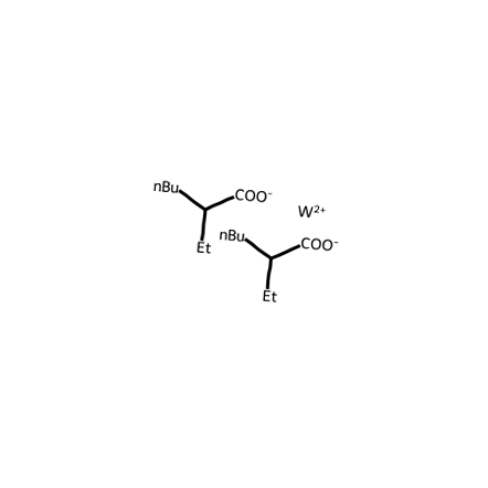 CCCCC(CC)C(=O)[O-].CCCCC(CC)C(=O)[O-].[W+2]